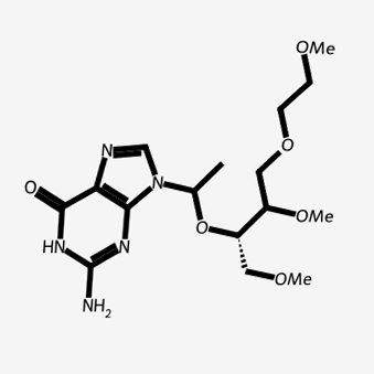 COCCOCC(OC)[C@H](COC)OC(C)n1cnc2c(=O)[nH]c(N)nc21